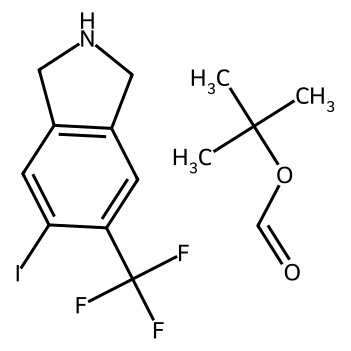 CC(C)(C)OC=O.FC(F)(F)c1cc2c(cc1I)CNC2